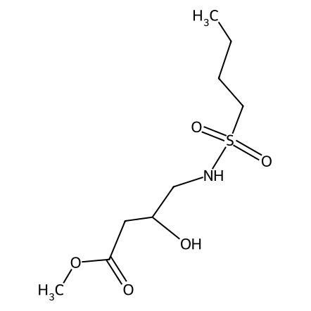 CCCCS(=O)(=O)NCC(O)CC(=O)OC